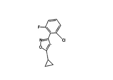 Fc1cccc(Cl)c1-c1[c]c(C2CC2)on1